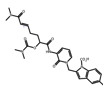 CN(C)C(=O)/C=C/CCC(OC(=O)N(C)C)C(=O)Nc1cccn(Cc2cc3cc(F)ccc3n2C(=O)O)c1=O